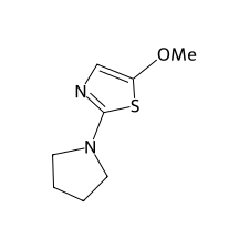 COc1cnc(N2CCCC2)s1